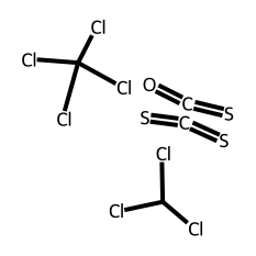 ClC(Cl)(Cl)Cl.ClC(Cl)Cl.O=C=S.S=C=S